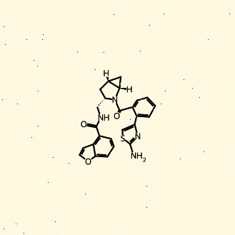 Nc1nc(-c2ccccc2C(=O)N2[C@H](CNC(=O)c3cccc4occc34)C[C@@H]3C[C@@H]32)cs1